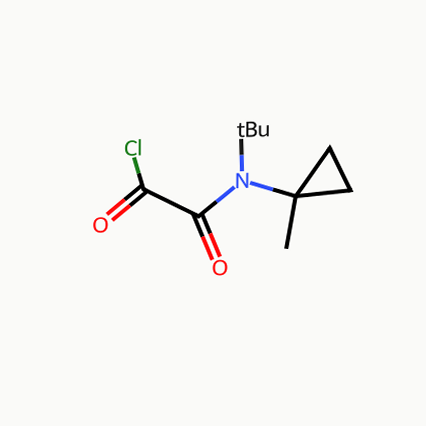 CC(C)(C)N(C(=O)C(=O)Cl)C1(C)CC1